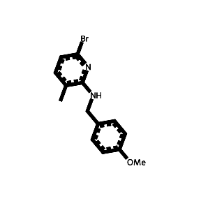 COc1ccc(CNc2nc(Br)ccc2C)cc1